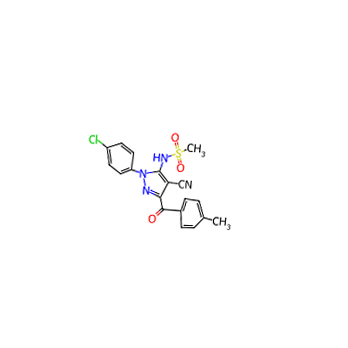 Cc1ccc(C(=O)c2nn(-c3ccc(Cl)cc3)c(NS(C)(=O)=O)c2C#N)cc1